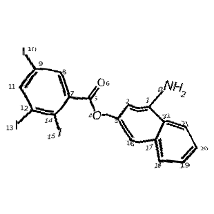 Nc1cc(OC(=O)c2cc(I)cc(I)c2I)cc2ccccc12